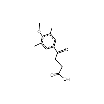 COc1c(C)cc(C(=O)CCC(=O)O)cc1C